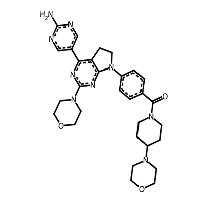 Nc1ncc(-c2nc(N3CCOCC3)nc3c2CCN3c2ccc(C(=O)N3CCC(N4CCOCC4)CC3)cc2)cn1